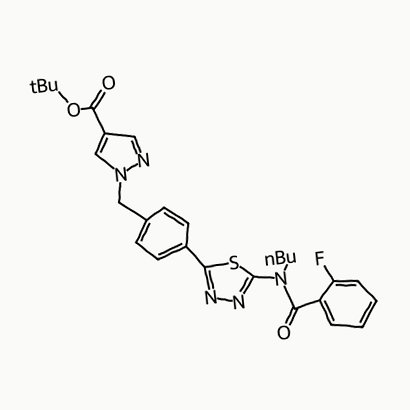 CCCCN(C(=O)c1ccccc1F)c1nnc(-c2ccc(Cn3cc(C(=O)OC(C)(C)C)cn3)cc2)s1